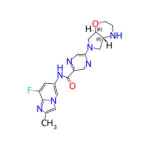 Cc1cn2cc(NC(=O)c3cnc(N4C[C@H]5NCCO[C@@H]5C4)cn3)cc(F)c2n1